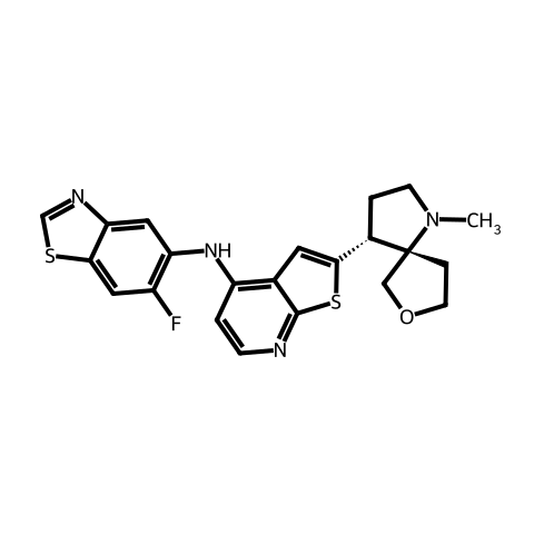 CN1CC[C@@H](c2cc3c(Nc4cc5ncsc5cc4F)ccnc3s2)[C@]12CCOC2